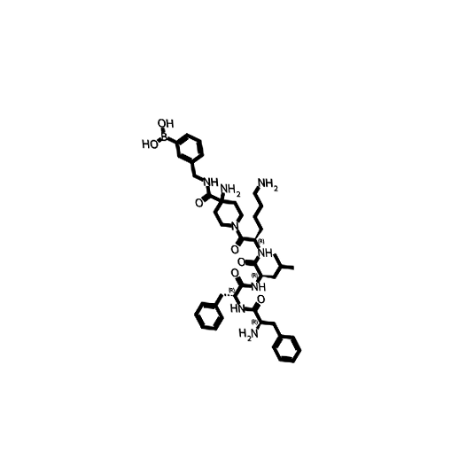 CC(C)C[C@@H](NC(=O)[C@@H](Cc1ccccc1)NC(=O)[C@H](N)Cc1ccccc1)C(=O)N[C@H](CCCCN)C(=O)N1CCC(N)(C(=O)NCc2cccc(B(O)O)c2)CC1